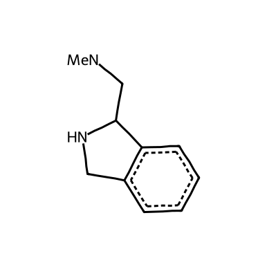 CNCC1NCc2ccccc21